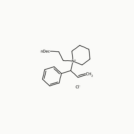 C=CC(c1ccccc1)[N+]1(CCCCCCCCCCCC)CCCCC1.[Cl-]